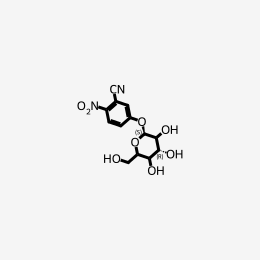 N#Cc1cc(O[C@@H]2OC(CO)C(O)[C@@H](O)C2O)ccc1[N+](=O)[O-]